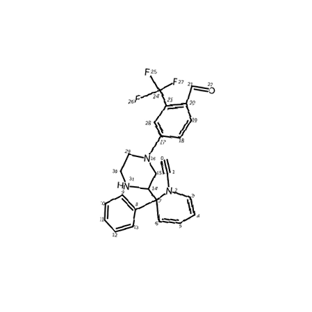 C#CN1C=CC=CC1(c1ccccc1)C1CN(c2ccc(C=O)c(C(F)(F)F)c2)CCN1